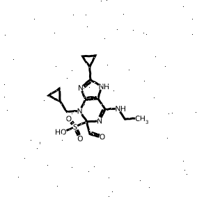 CCNC1=NC(C=O)(S(=O)(=O)O)N(CC2CC2)c2nc(C3CC3)[nH]c21